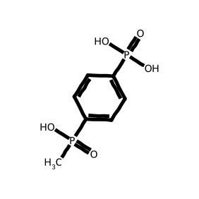 CP(=O)(O)c1ccc(P(=O)(O)O)cc1